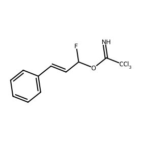 N=C(OC(F)C=Cc1ccccc1)C(Cl)(Cl)Cl